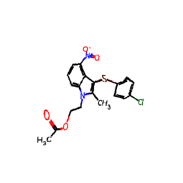 CC(=O)OCCn1c(C)c(Sc2ccc(Cl)cc2)c2c([N+](=O)[O-])cccc21